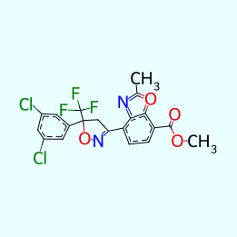 COC(=O)c1ccc(C2=NOC(c3cc(Cl)cc(Cl)c3)(C(F)(F)F)C2)c2nc(C)oc12